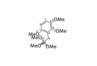 COc1ccc(OC)c(OC)c1C[Si](OC)(OC)OC